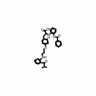 CC(C)C(=O)c1ccccc1NCCCOc1ccc(CC(Nc2ccccc2OC(=O)c2ccccc2)C(=O)O)cc1